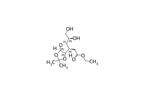 CCOC(=O)C[C@H]1[C@H]2OC(C)(C)O[C@H]2O[C@@H]1[C@H](O)CO